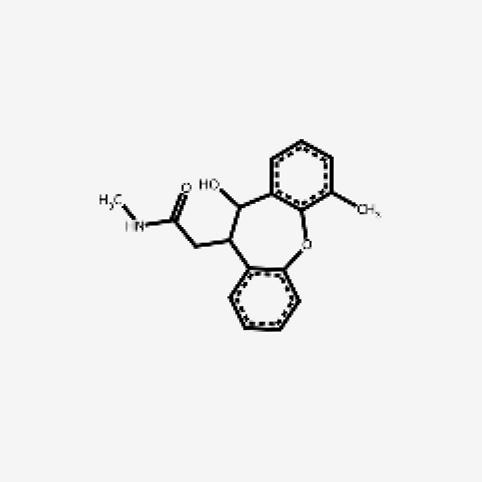 CNC(=O)CC1c2ccccc2Oc2c(C)cccc2C1O